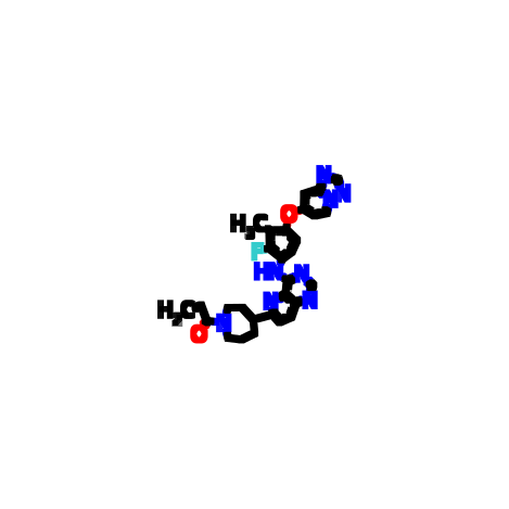 C=CC(=O)N1CCCC(c2ccc3ncnc(Nc4ccc(Oc5ccn6ncnc6c5)c(C)c4F)c3n2)CC1